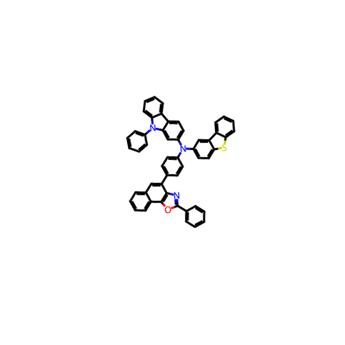 c1ccc(-c2nc3c(-c4ccc(N(c5ccc6sc7ccccc7c6c5)c5ccc6c7ccccc7n(-c7ccccc7)c6c5)cc4)cc4ccccc4c3o2)cc1